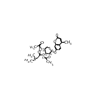 CC(=O)O[C@@H]1[C@@H](OC(=O)CN(C)C)[C@H](OC(C)=O)CS[C@H]1Oc1ccc2c(C)cc(=O)oc2c1